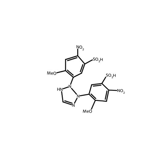 COc1cc([N+](=O)[O-])c(S(=O)(=O)O)cc1N1N=CNN1c1cc(S(=O)(=O)O)c([N+](=O)[O-])cc1OC